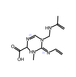 C=C/N=C(/NC)N(/C=N\C(C)C(=O)O)CNC(=C)C